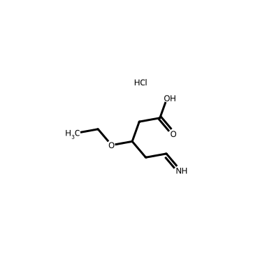 CCOC(CC=N)CC(=O)O.Cl